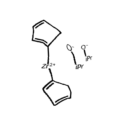 C1=CC[C]([Zr+2][C]2=CC=CC2)=C1.CC(C)[O-].CC(C)[O-]